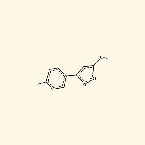 [CH2]c1cc(-c2ccc(F)cc2)no1